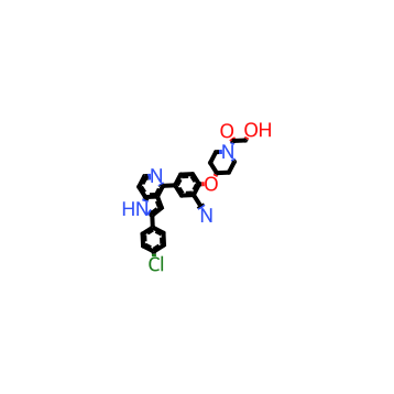 N#Cc1cc(-c2nccc3[nH]c(-c4ccc(Cl)cc4)cc23)ccc1OC1CCN(C(=O)CO)CC1